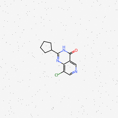 O=c1[nH]c(C2CCCC2)nc2c(Cl)cncc12